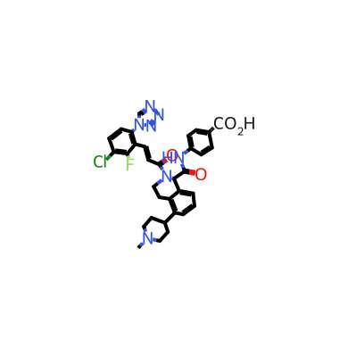 CN1CCC(c2cccc3c2CCN(C(=O)C=Cc2c(-n4cnnn4)ccc(Cl)c2F)C3C(=O)Nc2ccc(C(=O)O)cc2)CC1